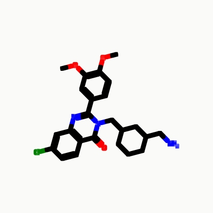 COc1ccc(-c2nc3cc(Cl)ccc3c(=O)n2CC2CCCC(CN)C2)cc1OC